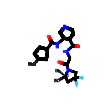 CC[C@@]1(C#N)CC(F)(F)CN1C(=O)CNC(=O)c1ccncc1NC(=O)c1ccc(OC)cc1